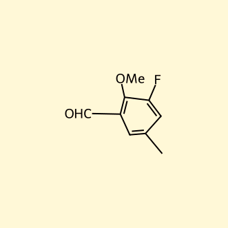 COc1c(F)cc(C)cc1C=O